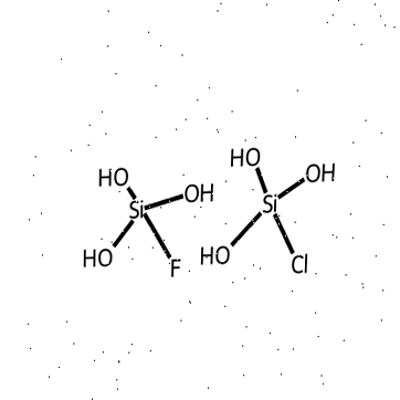 O[Si](O)(O)Cl.O[Si](O)(O)F